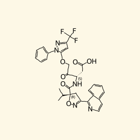 CC(C)[C@@]1(C(=O)N[C@@H](CC(=O)O)C(=O)COc2cc(C(F)(F)F)nn2-c2ccccc2)CC(c2nccc3ccccc23)=NO1